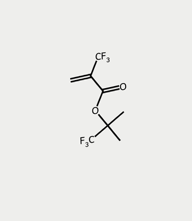 C=C(C(=O)OC(C)(C)C(F)(F)F)C(F)(F)F